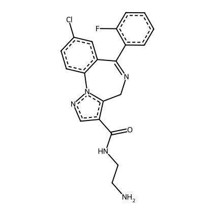 NCCNC(=O)c1cnn2c1CN=C(c1ccccc1F)c1cc(Cl)ccc1-2